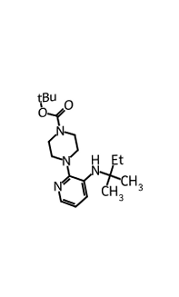 CCC(C)(C)Nc1cccnc1N1CCN(C(=O)OC(C)(C)C)CC1